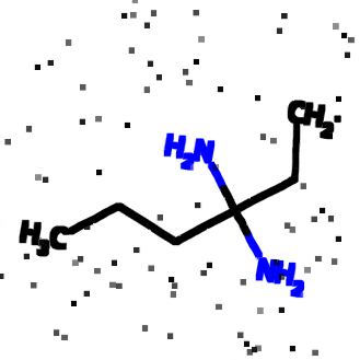 [CH2]CC(N)(N)CCC